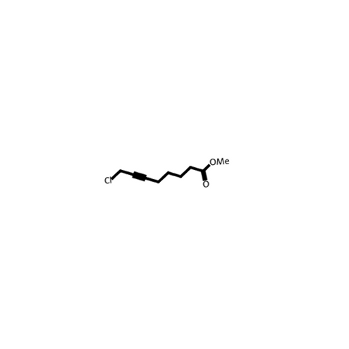 COC(=O)CCCCC#CCCl